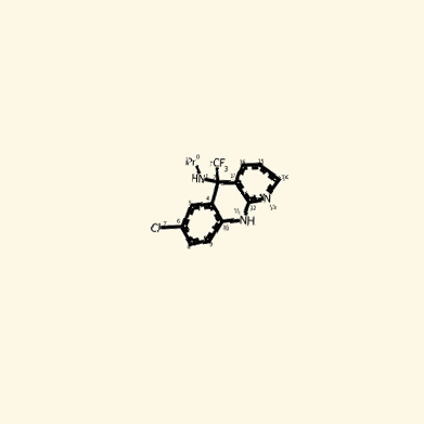 CC(C)NC1(C(F)(F)F)c2cc(Cl)ccc2Nc2ncccc21